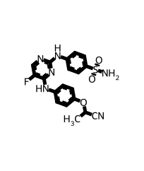 CC(C#N)Oc1ccc(Nc2nc(Nc3ccc(S(N)(=O)=O)cc3)ncc2F)cc1